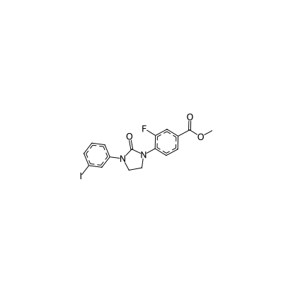 COC(=O)c1ccc(N2CCN(c3cccc(I)c3)C2=O)c(F)c1